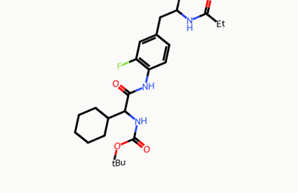 CCC(=O)NC(Cc1ccc(NC(=O)C(NC(=O)OC(C)(C)C)C2CCCCC2)c(F)c1)C(=O)O